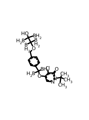 BC(B)(Oc1cnn(C(C)(C)C)c(=O)c1Cl)c1ccc(COC(B)(B)C(B)(B)O)cc1